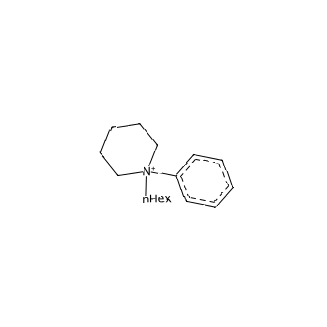 CCCCCC[N+]1(c2ccccc2)CCCCC1